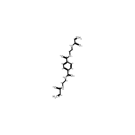 C=CC(=O)OCCOC(=O)c1ccc(C(=O)OCCOC(=O)C=C)cc1